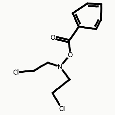 O=C(ON(CCCl)CCCl)c1ccccc1